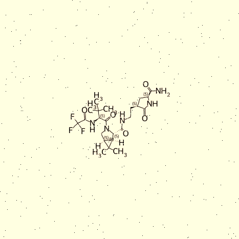 CC(C)(C)[C@H](NC(=O)C(F)(F)F)C(=O)N1C[C@H]2[C@@H]([C@H]1C(=O)NCC[C@H]1C[C@@H](C(N)=O)NC1=O)C2(C)C